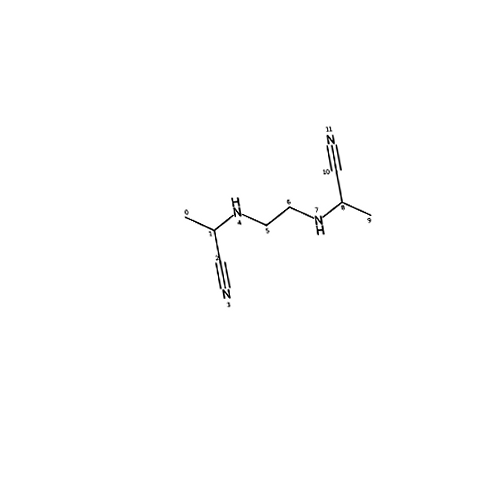 CC(C#N)NCCNC(C)C#N